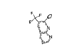 FC(F)(F)c1cc2cccnc2nc1Cl